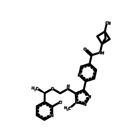 C[C@@H](OCNc1c(-c2ccc(C(=O)NC34CC(C#N)(C3)C4)cn2)nnn1C)c1cccnc1Cl